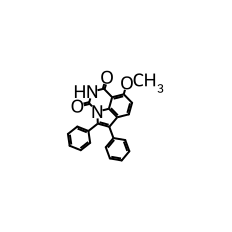 COc1ccc2c(-c3ccccc3)c(-c3ccccc3)n3c(=O)[nH]c(=O)c1c23